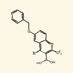 OB(O)c1c(C(F)(F)F)nc2ccc(OCc3ccccc3)cc2c1Br